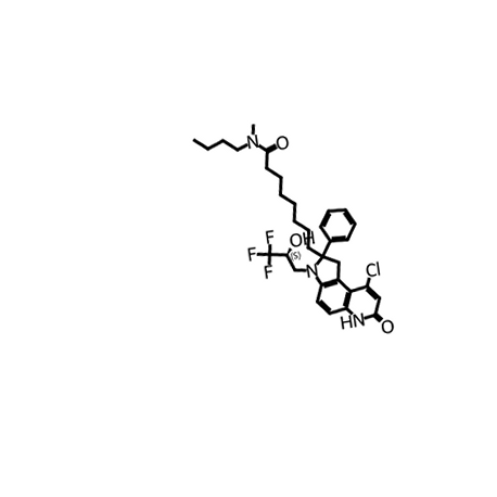 CCCCN(C)C(=O)CCCCCCCC1(c2ccccc2)Cc2c(ccc3[nH]c(=O)cc(Cl)c23)N1C[C@H](O)C(F)(F)F